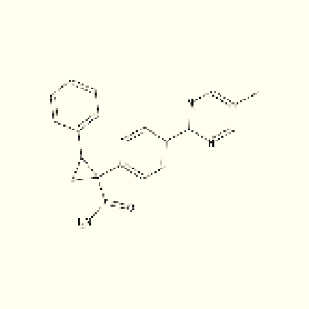 Cc1cnc(-c2ccc(C3(C(N)=O)CC3c3ccccc3)cc2)nc1